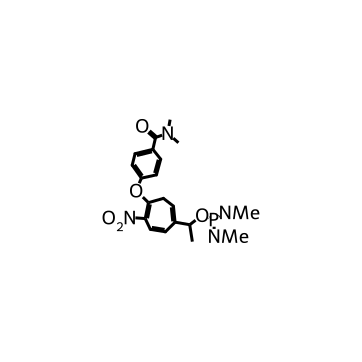 CNP(NC)OC(C)C1=CCC(Oc2ccc(C(=O)N(C)C)cc2)=C([N+](=O)[O-])C=C1